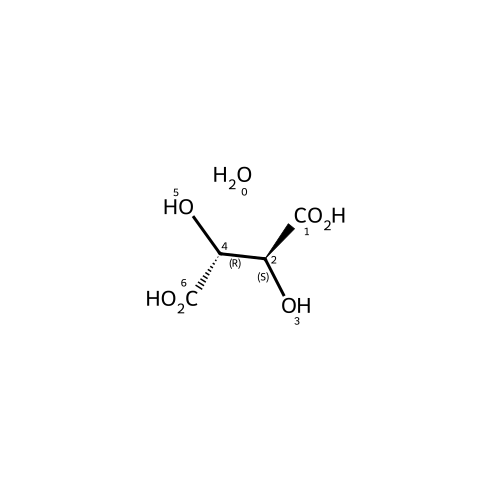 O.O=C(O)[C@@H](O)[C@@H](O)C(=O)O